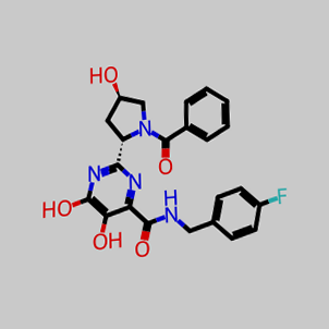 O=C(NCc1ccc(F)cc1)c1nc([C@@H]2C[C@@H](O)CN2C(=O)c2ccccc2)nc(O)c1O